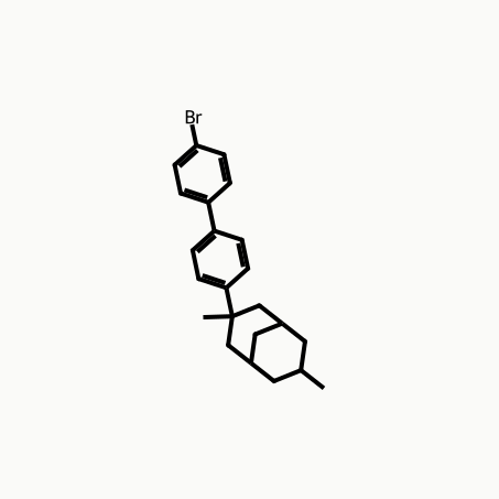 CC1CC2CC(C1)CC(C)(c1ccc(-c3ccc(Br)cc3)cc1)C2